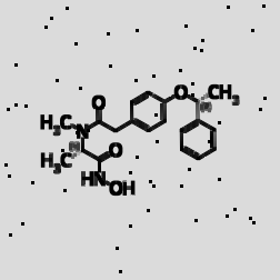 C[C@@H](Oc1ccc(CC(=O)N(C)[C@@H](C)C(=O)NO)cc1)c1ccccc1